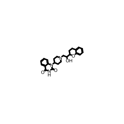 O=c1[nH]c(=O)n(C2CCN(CC(O)C3CCc4ccccc4O3)CC2)c2ccccc12